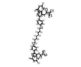 CCN(CC)C(=O)Cc1c(-c2ccc(OCCCCCCCCOc3ccc(-c4nn5c(C)cc(C)nc5c4CC(=O)N(CC)CC)cc3)cc2)nn2c(C)cc(C)nc12